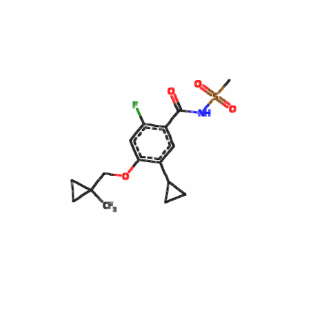 CS(=O)(=O)NC(=O)c1cc(C2CC2)c(OCC2(C(F)(F)F)CC2)cc1F